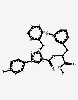 CNC(=O)C(Cc1cccc(Br)c1)NC(=O)c1cc(-c2ccc(C)cc2)nn1Cc1ccccc1